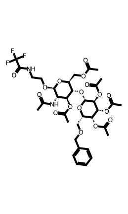 CC(=O)N[C@@H]1[C@@H](OCCNC(=O)C(F)(F)F)O[C@@H](COC(C)=O)[C@H](O[C@H]2O[C@@H](COCc3ccccc3)[C@@H](OC(C)=O)[C@@H](OC(C)=O)[C@@H]2OC(C)=O)[C@H]1OC(C)=O